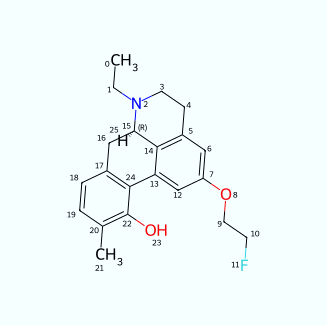 CCN1CCc2cc(OCCF)cc3c2[C@H]1Cc1ccc(C)c(O)c1-3